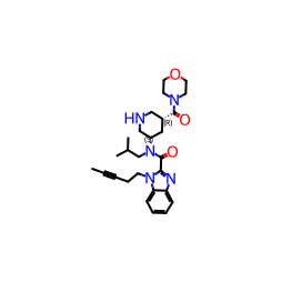 CC#CCCn1c(C(=O)N(CC(C)C)[C@@H]2CNC[C@H](C(=O)N3CCOCC3)C2)nc2ccccc21